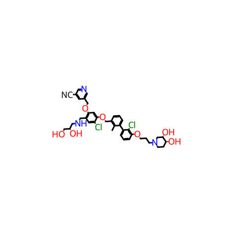 Cc1c(COc2cc(OCc3cncc(C#N)c3)c(CNC[C@H](O)CO)cc2Cl)cccc1-c1cccc(OCCCN2CC[C@H](O)[C@@H](O)C2)c1Cl